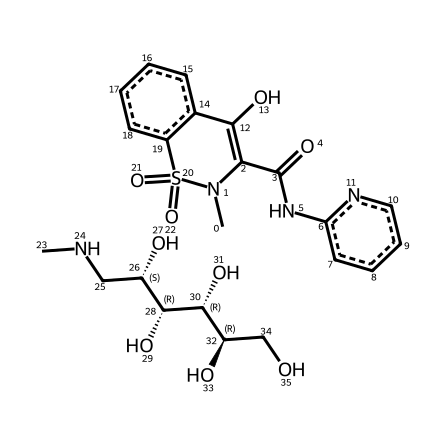 CN1C(C(=O)Nc2ccccn2)=C(O)c2ccccc2S1(=O)=O.CNC[C@H](O)[C@@H](O)[C@H](O)[C@H](O)CO